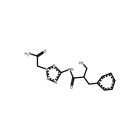 NC(=O)Cn1nnc(NC(=O)C(CS)Cc2ccccc2)n1